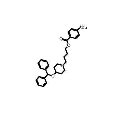 CC(C)(C)c1ccc(C(=O)OCCCCN2CCC(OC(c3ccccc3)c3ccccc3)CC2)cc1